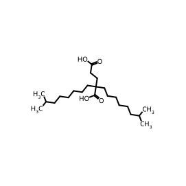 CC(C)CCCCCCC(CCCCCCC(C)C)(CCC(=O)O)C(=O)O